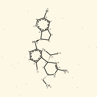 CC[C@@H]1C[C@](c2cc(N[C@@H]3CCc4cc(Br)cnc43)ccc2F)(C(F)F)N=C(N)O1